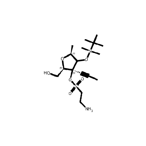 CC#C[C@@]1(OS(=O)(=O)CCN)C(O[Si](C)(C)C(C)(C)C)[C@H](C)O[C@@H]1CO